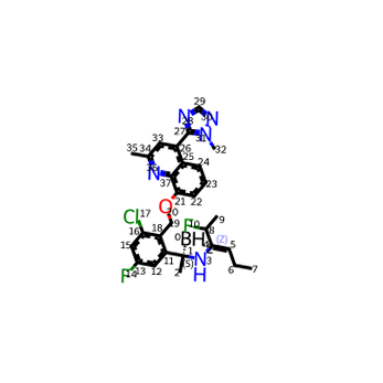 B[C@@](C)(N/C(=C\CC)C(C)F)c1cc(F)cc(Cl)c1COc1cccc2c(-c3ncnn3C)cc(C)nc12